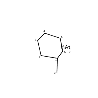 CC1CCCCC1.[AtH]